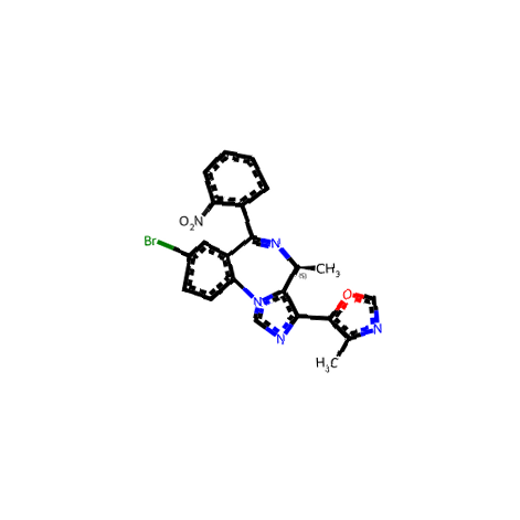 Cc1ncoc1-c1ncn2c1[C@H](C)N=C(c1ccccc1[N+](=O)[O-])c1cc(Br)ccc1-2